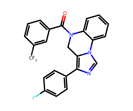 O=C(c1cccc(C(F)(F)F)c1)N1Cc2c(-c3ccc(F)cc3)ncn2-c2ccccc21